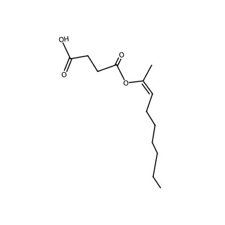 CCCCCCC=C(C)OC(=O)CCC(=O)O